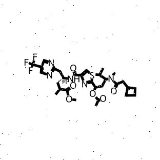 COC(=O)C(C)C[C@H](Cc1ncc(C(F)(F)F)cn1)NC(=O)c1csc(C(CC(C(C)C)N(C)C(=O)CC2CCC2)OC(C)=O)n1